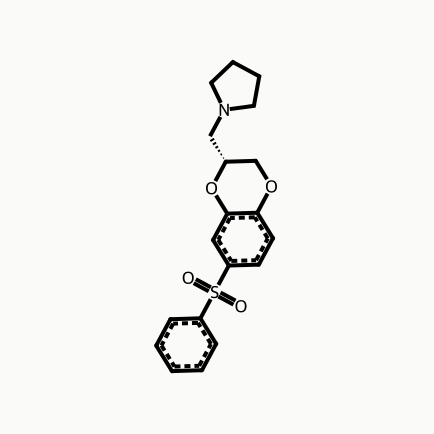 O=S(=O)(c1ccccc1)c1ccc2c(c1)O[C@H](CN1CCCC1)CO2